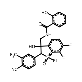 CCS(=O)(=O)C(c1ccc(C#N)c(C(F)(F)F)c1)C(O)(CNC(=O)c1ccccc1O)c1ccc(F)c(F)c1